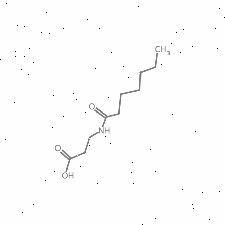 CCCCCCC(=O)NCCC(=O)O